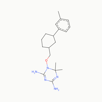 Cc1cccc(C2CCCC(CON3C(N)=NC(N)=NC3(C)C)C2)c1